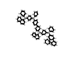 c1ccc(N(c2ccc(-c3ccc(N(c4ccc(N(c5ccccc5)c5ccc6c(c5)C5(CCCCC5)c5ccccc5-6)cc4)c4cccc5ccccc45)cc3)cc2)c2ccc(N(c3ccccc3)c3cccc4ccccc34)cc2)cc1